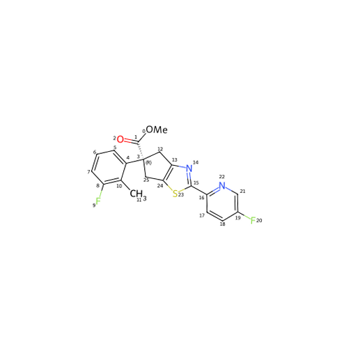 COC(=O)[C@]1(c2cccc(F)c2C)Cc2nc(-c3ccc(F)cn3)sc2C1